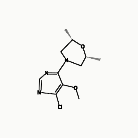 COc1c(Cl)ncnc1N1C[C@@H](C)O[C@@H](C)C1